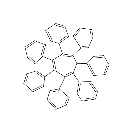 c1ccc(C2=C(c3ccccc3)C(c3ccccc3)=C(c3ccccc3)C(c3ccccc3)C(c3ccccc3)=C2c2ccccc2)cc1